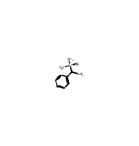 CC[N+](C)(C)C(N)c1ccccc1